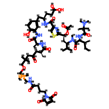 CC[C@H](C)[C@H](NC(=O)C(C)(C)N(C)C)C(=O)N(C)[C@H](C[C@@H](OC(C)=O)c1nc(C(=O)N[C@H](CCC(=O)O)Cc2ccc(O)c(NC(=O)[C@H](C)NC(=O)[C@H](C)CC(=O)CC(C)(C)COC[PH](C)(C)CNC(=O)CCCN3C(=O)C=CC3=O)c2)cs1)C(C)C